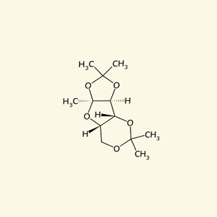 CC1(C)OC[C@@H]2O[C@@]3(C)OC(C)(C)O[C@H]3[C@@H]2O1